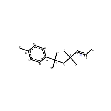 C/N=C/C(C)(C)CC(C)(C)c1ccc(C)cc1